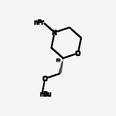 CCCCOC[C@@H]1CN(CCC)CCO1